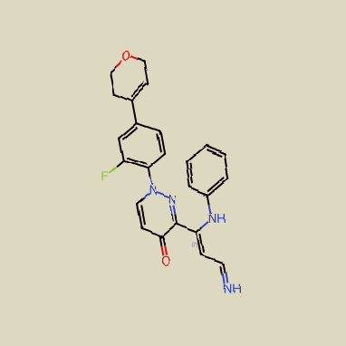 N=C/C=C(\Nc1ccccc1)c1nn(-c2ccc(C3=CCOCC3)cc2F)ccc1=O